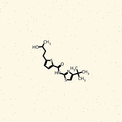 CC(O)CCc1ccc(C(=O)Nc2nc(C(C)(C)C)cs2)s1